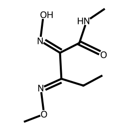 CCC(=N\OC)/C(=N/O)C(=O)NC